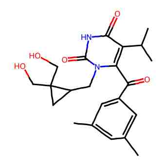 Cc1cc(C)cc(C(=O)c2c(C(C)C)c(=O)[nH]c(=O)n2CC2CC2(CO)CO)c1